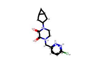 O=C1C(=O)N(C2CC3CC3C2)CCN1Cc1ccc(Cl)nn1